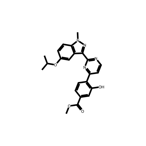 COC(=O)c1ccc(-c2ccnc(-c3nn(C)c4ccc(OC(C)C)cc34)n2)c(O)c1